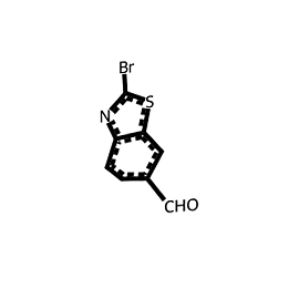 O=Cc1ccc2nc(Br)sc2c1